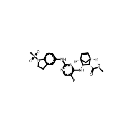 CNC(=O)[C@@H]1[C@H](Nc2nc(Nc3ccc4c(c3)CCN4S(C)(=O)=O)ncc2F)[C@H]2C=C[C@@H]1C2